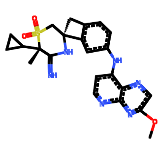 COc1cnc2c(Nc3ccc4c(c3)[C@]3(C4)CS(=O)(=O)[C@@](C)(C4CC4)C(=N)N3)ccnc2n1